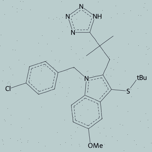 COc1ccc2c(c1)c(SC(C)(C)C)c(CC(C)(C)c1nnn[nH]1)n2Cc1ccc(Cl)cc1